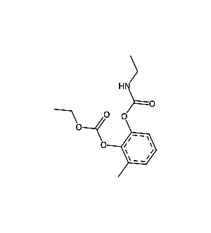 CCNC(=O)Oc1cccc(C)c1OC(=O)OCC